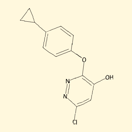 Oc1cc(Cl)nnc1Oc1ccc(C2CC2)cc1